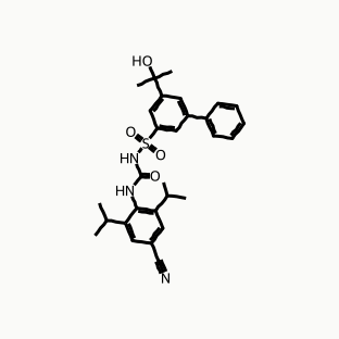 CC(C)c1cc(C#N)cc(C(C)C)c1NC(=O)NS(=O)(=O)c1cc(-c2ccccc2)cc(C(C)(C)O)c1